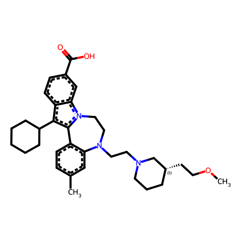 COCC[C@@H]1CCCN(CCN2CCn3c(c(C4CCCCC4)c4ccc(C(=O)O)cc43)-c3ccc(C)cc32)C1